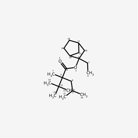 CCC1(OC(=O)C(C)(CC(C)C)C(C)(C)C)CC2CCC1C2